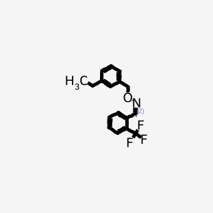 CCc1cccc(CO/N=[C]\c2ccccc2C(F)(F)F)c1